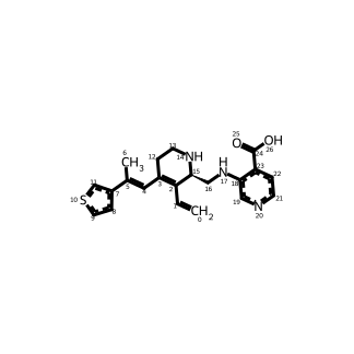 C=CC1=C(/C=C(\C)c2ccsc2)CCN[C@H]1CNc1cnccc1C(=O)O